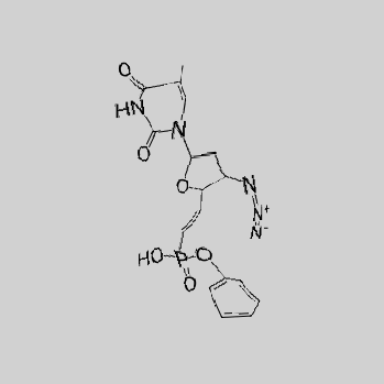 Cc1cn(C2CC(N=[N+]=[N-])C(C=CP(=O)(O)Oc3ccccc3)O2)c(=O)[nH]c1=O